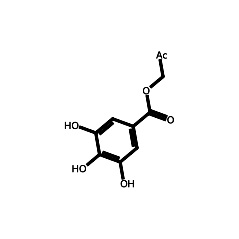 CC(=O)COC(=O)c1cc(O)c(O)c(O)c1